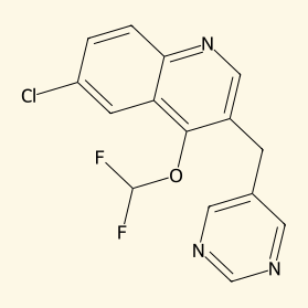 FC(F)Oc1c(Cc2cncnc2)cnc2ccc(Cl)cc12